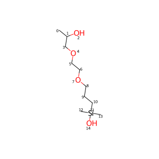 CC(O)COCCOCCC[Si](C)(C)O